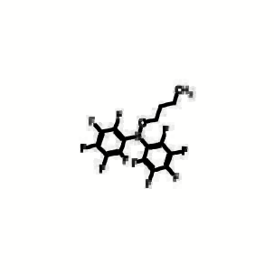 CCCCOB(c1c(F)c(F)c(F)c(F)c1F)c1c(F)c(F)c(F)c(F)c1F